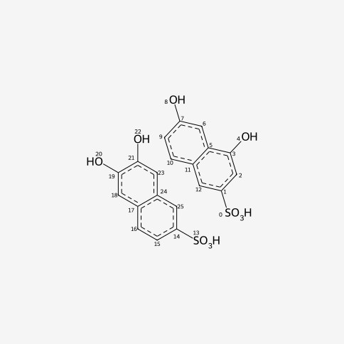 O=S(=O)(O)c1cc(O)c2cc(O)ccc2c1.O=S(=O)(O)c1ccc2cc(O)c(O)cc2c1